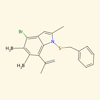 Bc1c(B)c(C(=C)C)c2c(cc(C)n2SCc2ccccc2)c1Br